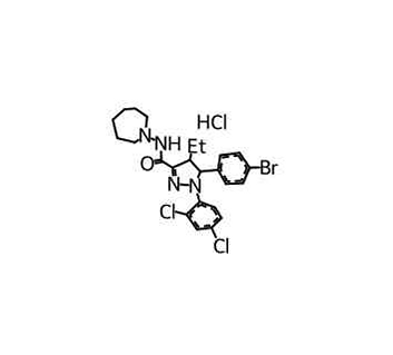 CCC1C(C(=O)NN2CCCCCC2)=NN(c2ccc(Cl)cc2Cl)C1c1ccc(Br)cc1.Cl